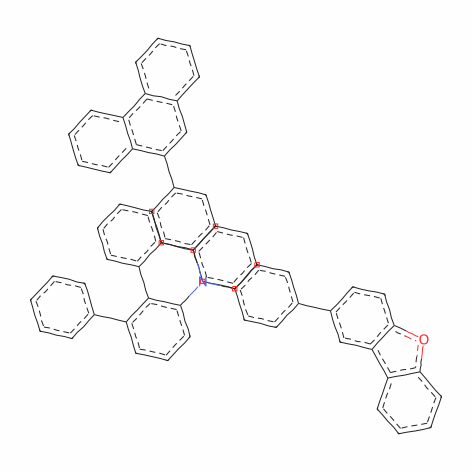 c1ccc(-c2ccccc2-c2c(-c3ccccc3)cccc2N(c2ccc(-c3ccc4oc5ccccc5c4c3)cc2)c2ccc(-c3cc4ccccc4c4ccccc34)cc2)cc1